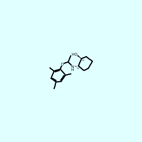 Cc1cc(C)c(OC(C)N[C@H]2CCCC[C@@H]2O)c(C)c1